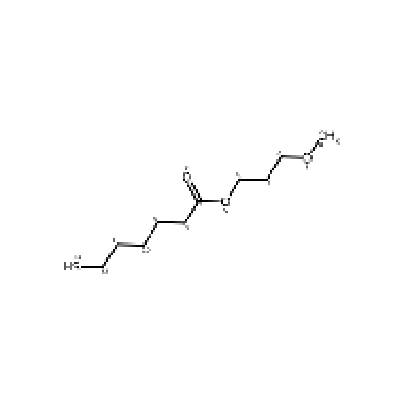 COCCCOC(=O)CCCCCS